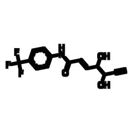 C#CC(O)C(O)C=CC(=O)Nc1ccc(C(F)(F)F)cc1